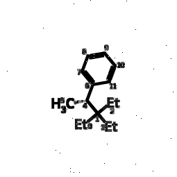 CCC(CC)(CC)[C@H](C)c1ccccc1